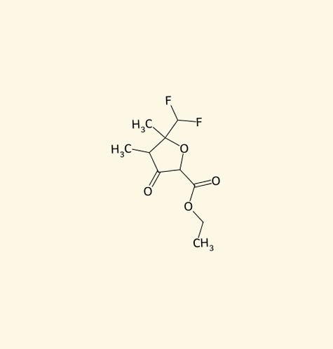 CCOC(=O)C1OC(C)(C(F)F)C(C)C1=O